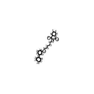 O=C1c2ccccc2C(=O)N1CCCCCCOc1cccc(-c2ccccc2)c1